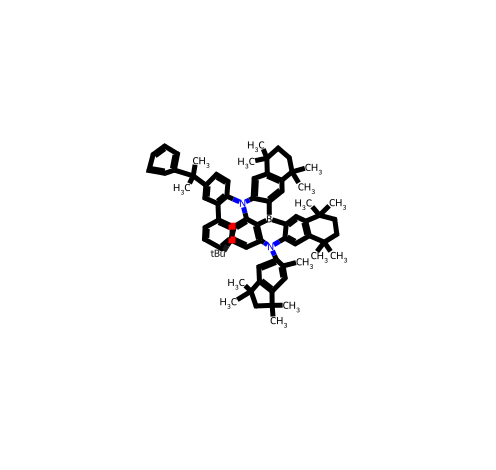 Cc1cc2c(cc1N1c3cc4c(cc3B3c5cc6c(cc5N(c5ccc(C(C)(C)c7ccccc7)cc5-c5ccccc5)c5cc(C(C)(C)C)cc1c53)C(C)(C)CCC6(C)C)C(C)(C)CCC4(C)C)C(C)(C)CC2(C)C